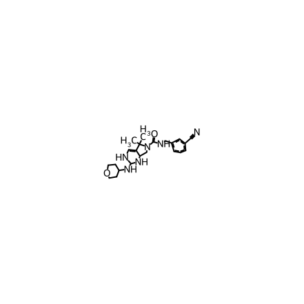 CC1(C)C2=CNC(NC3CCOCC3)NC2CN1C(=O)NCc1cccc(C#N)c1